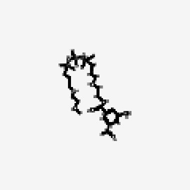 COCCOCCC[Si](C)(C)O[Si](C)(C)O[Si](C)(C)CCCOCCOC(=O)c1cc(O)cc(C(C)=O)c1